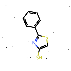 Sc1csc(-c2ccccc2)n1